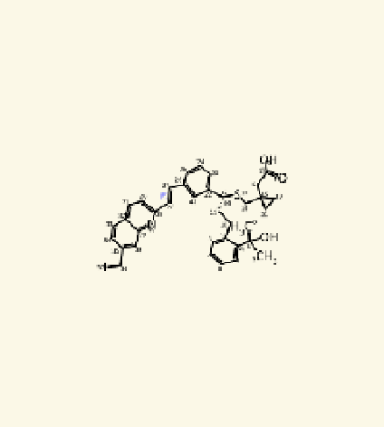 CC(C)(O)c1ccccc1CC[C@@H](SCC1(CC(=O)O)CC1)c1cccc(/C=C/c2ccc3ccc(CI)cc3n2)c1